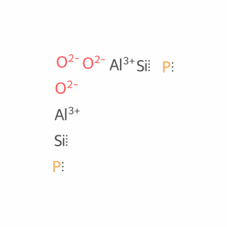 [Al+3].[Al+3].[O-2].[O-2].[O-2].[P].[P].[Si].[Si]